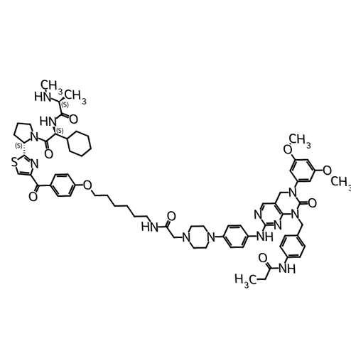 CCC(=O)Nc1ccc(CN2C(=O)N(c3cc(OC)cc(OC)c3)Cc3cnc(Nc4ccc(N5CCN(CC(=O)NCCCCCCOc6ccc(C(=O)c7csc([C@@H]8CCCN8C(=O)[C@@H](NC(=O)[C@H](C)NC)C8CCCCC8)n7)cc6)CC5)cc4)nc32)cc1